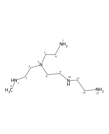 CNCCN(CCN)CCNCCN